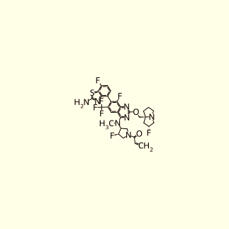 C=CC(=O)N1C[C@@H](F)[C@@H](N(C)c2nc(OC[C@@]34CCCN3C[C@H](F)C4)nc3c(F)c(-c4ccc(F)c5sc(N)nc45)c(C(F)(F)F)cc23)C1